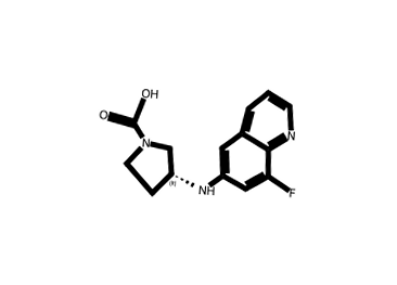 O=C(O)N1CC[C@@H](Nc2cc(F)c3ncccc3c2)C1